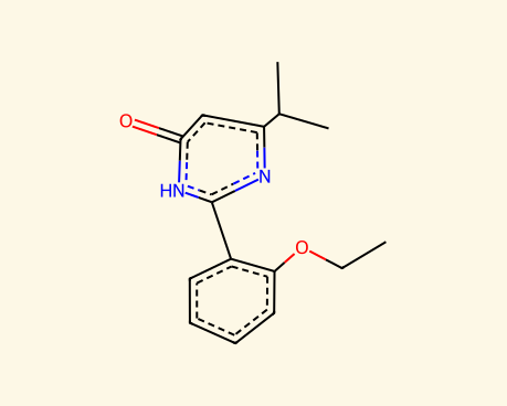 CCOc1ccccc1-c1nc(C(C)C)cc(=O)[nH]1